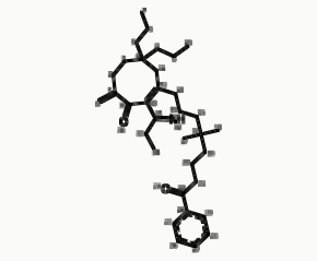 C=C1CCC(CCC)(CCC)C/C(CCCC(C)(C)CCCC(=O)c2ccccc2)=C(/C(=N)CC)C1=O